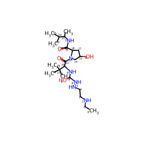 CCNCCNNC(O)NC(C(=O)N1CC(O)CC1C(=O)NC(C)C(C)C)C(C)(C)C